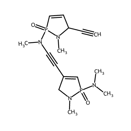 C#CC1C=CP(=O)(N(C)C#CC2=CP(=O)(N(C)C)N(C)C2)N1C